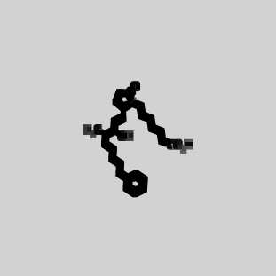 C[C@@H](CCCCCc1ccccc1)[C@@H](O)C=C[C@H]1CCC(=O)N1CCCCCCC(=O)O